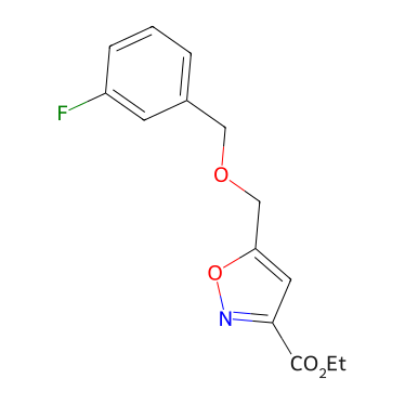 CCOC(=O)c1cc(COCc2cccc(F)c2)on1